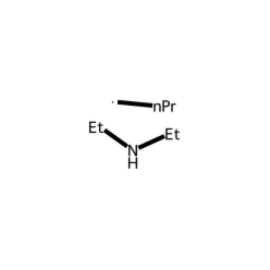 CCNCC.[CH2]CCC